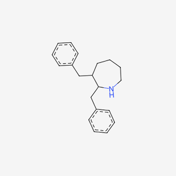 c1ccc(CC2CCCCNC2Cc2ccccc2)cc1